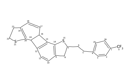 FC(F)(F)c1ccc(CCC2Cc3ccc4c(c3S2)C2C=CC3=C(SCC3)C42)cc1